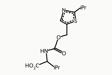 CC(C)c1ncc(COC(=O)NC(C(=O)O)C(C)C)s1